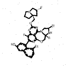 CCc1cccc2cc(O)cc(-c3nc4c5c(nc(OC[C@@]67CCCN6C[C@H](F)C7)nc5c3F)N3CC(CC)N[C@@H]3CO4)c12